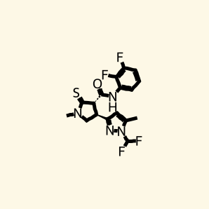 Cc1cc([C@H]2CN(C)C(=S)[C@@H]2C(=O)Nc2cccc(F)c2F)nn1C(F)F